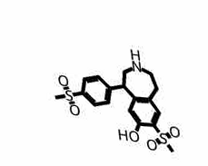 CS(=O)(=O)c1ccc(C2CNCCc3cc(S(C)(=O)=O)c(O)cc32)cc1